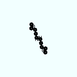 c1cc(-c2ccc(-c3ccnc(-c4cc(-c5ccc(-c6cccc(-c7cccc8c7oc7ccccc78)c6)cc5)ccn4)c3)cc2)cc(-c2cccc3c2oc2ccccc23)c1